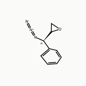 [N-]=[N+]=N[C@H](c1ccccc1)C1CO1